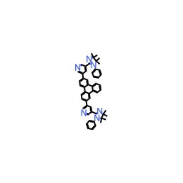 CC1(C)N=C(c2cncc(-c3ccc4c5ccc(-c6cncc(C7=NC(C)(C)C(C)(C)N7c7ccccc7)c6)cc5c5ccccc5c4c3)c2)N(c2ccccc2)C1(C)C